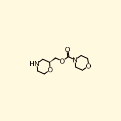 O=C(OC[C@@H]1CNCCO1)N1CCOCC1